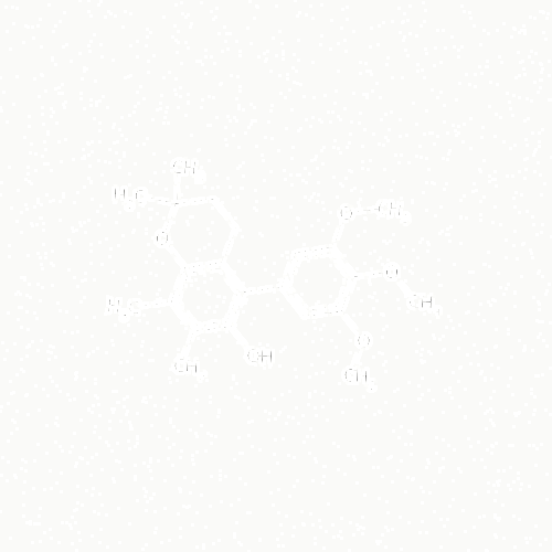 COc1cc(-c2c(O)c(C)c(C)c3c2CCC(C)(C)O3)cc(OC)c1OC